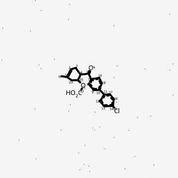 CC1=CCC(C(=O)c2ccc(-c3ccc(Cl)cc3)cc2)C(OC(=O)O)C1